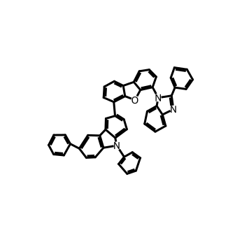 c1ccc(-c2ccc3c(c2)c2cc(-c4cccc5c4oc4c(-n6c(-c7ccccc7)nc7ccccc76)cccc45)ccc2n3-c2ccccc2)cc1